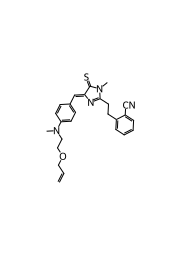 C=CCOCCN(C)c1ccc(/C=C2\N=C(CCc3ccccc3C#N)N(C)C2=S)cc1